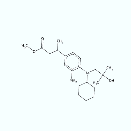 COC(=O)CC(C)c1ccc([As](CC(C)(C)O)C2CCCCC2)c(N)c1